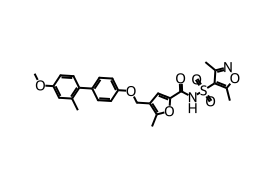 COc1ccc(-c2ccc(OCc3cc(C(=O)NS(=O)(=O)c4c(C)noc4C)oc3C)cc2)c(C)c1